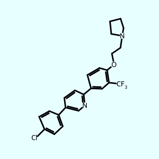 FC(F)(F)c1cc(-c2ccc(-c3ccc(Cl)cc3)cn2)ccc1OCCN1CCCC1